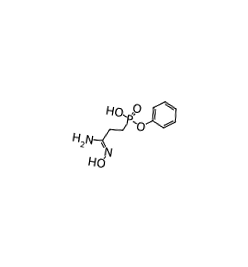 NC(CCP(=O)(O)Oc1ccccc1)=NO